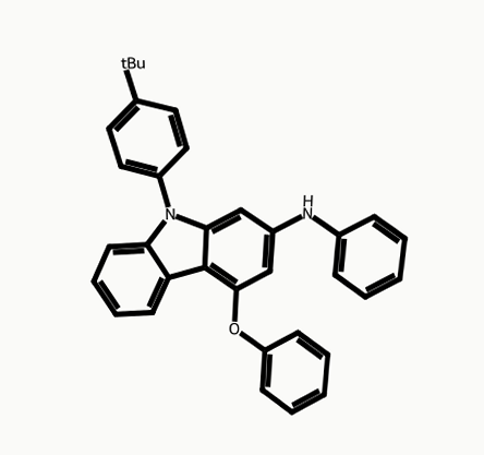 CC(C)(C)c1ccc(-n2c3ccccc3c3c(Oc4ccccc4)cc(Nc4ccccc4)cc32)cc1